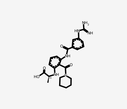 C[C@H](Nc1cccc(NC(=O)c2cccc(NC(=N)N)c2)c1C(=O)N1CCCCC1)C(=O)O